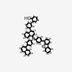 Oc1ccccc1-c1cccc(-c2ccc(N(c3ccc(-c4cccc5ccccc45)cc3)c3ccc(-c4cccc5c4oc4ccccc45)cc3)c3ccccc23)c1